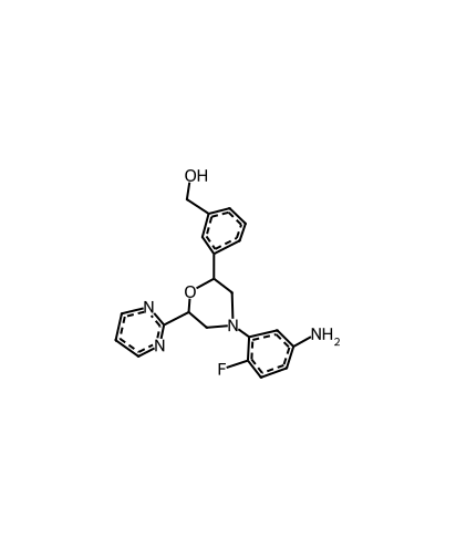 Nc1ccc(F)c(N2CC(c3cccc(CO)c3)OC(c3ncccn3)C2)c1